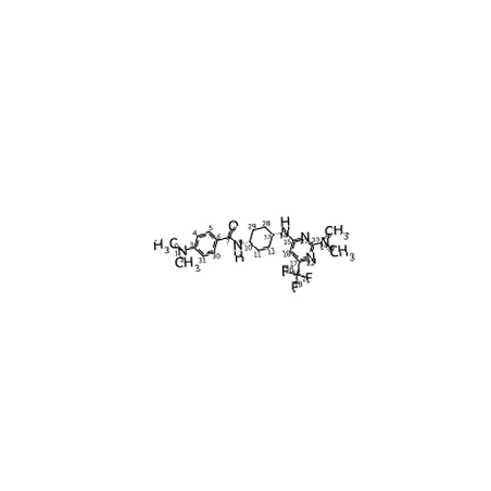 CN(C)c1ccc(C(=O)N[C@H]2CC[C@@H](Nc3cc(C(F)(F)F)nc(N(C)C)n3)CC2)cc1